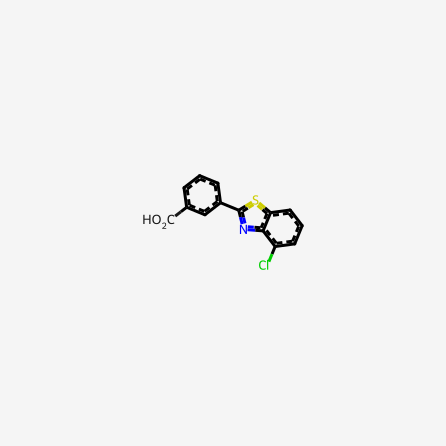 O=C(O)c1cccc(-c2nc3c(Cl)cccc3s2)c1